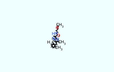 CCOCCCNC(=O)c1cnn2c(C)c(Cc3ccccc3C)c(C)nc12